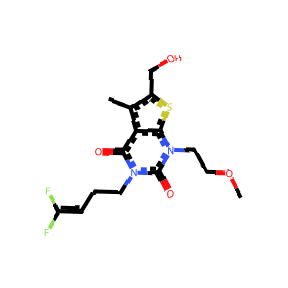 COCCn1c(=O)n(CCC=C(F)F)c(=O)c2c(C)c(CO)sc21